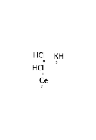 Cl.Cl.[Ce].[KH]